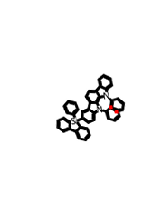 c1ccc(-n2c3ccccc3c3ccc4c5cc([Si]6(c7ccccc7)c7ccccc7-c7ccccc76)ccc5n(-c5ccccc5)c4c32)cc1